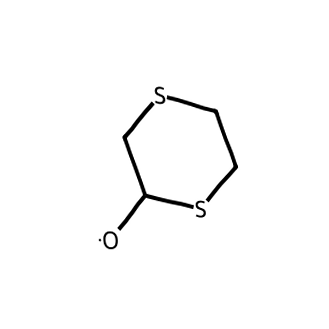 [O]C1CSCCS1